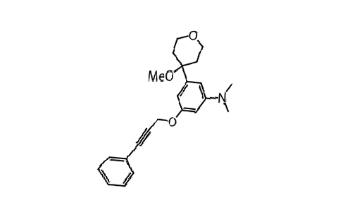 COC1(c2cc(OCC#Cc3ccccc3)cc(N(C)C)c2)CCOCC1